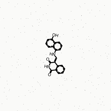 O=C1NC(=O)c2ccccc2/C1=C/Nc1cccc2c(O)cccc12